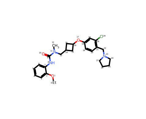 CCOc1ccccc1NC(=O)N(C)CC1CC(Oc2ccc(CN3CCCC3)c(Cl)c2)C1